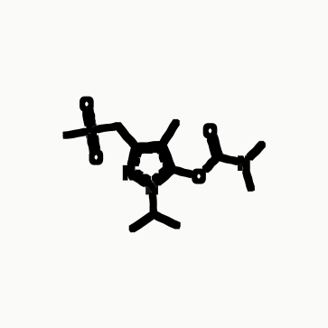 Cc1c(CS(C)(=O)=O)nn(C(C)C)c1OC(=O)N(C)C